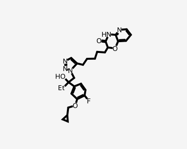 CCC(O)(Cn1nncc1CCCCCC1Oc2cccnc2NC1=O)c1ccc(F)c(OCC2CC2)c1